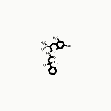 Cc1cc(O)cc(C)c1CC(CNC(=O)CC(C)(C)c1ccccc1)N(C)C